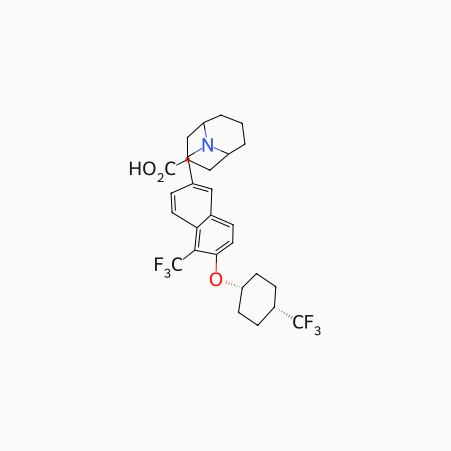 O=C(O)C1CC2CCCC(C1)N2Cc1ccc2c(C(F)(F)F)c(O[C@H]3CC[C@@H](C(F)(F)F)CC3)ccc2c1